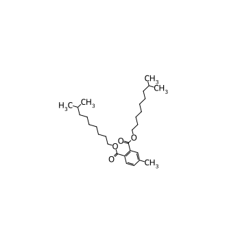 Cc1ccc(C(=O)OCCCCCCCC(C)C)c(C(=O)OCCCCCCCC(C)C)c1